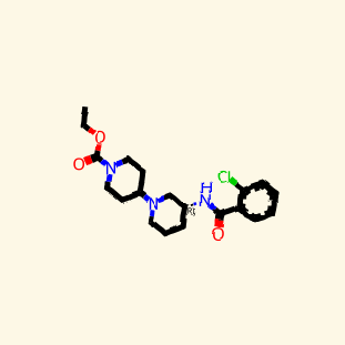 CCOC(=O)N1CCC(N2CCC[C@@H](NC(=O)c3ccccc3Cl)C2)CC1